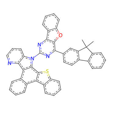 CC1(C)c2ccccc2-c2ccc(-c3nc(-n4c5cccnc5c5c6ccccc6c6c7ccccc7sc6c54)nc4c3oc3ccccc34)cc21